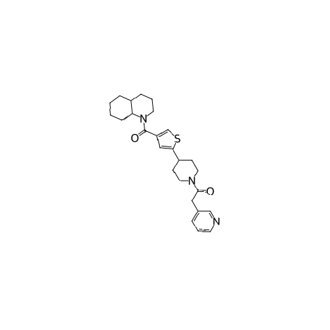 O=C(Cc1cccnc1)N1CCC(c2cc(C(=O)N3CCCC4CCCCC43)cs2)CC1